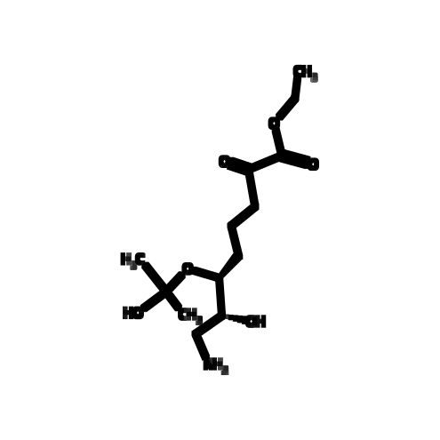 CCOC(=O)C(=O)CCC[C@H](OC(C)(C)O)[C@H](O)CN